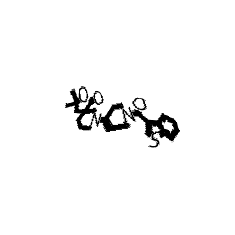 CC1(C)CC2(CCCN(C3CCN(C(=O)c4csc5ccccc45)CC3)C2)C(=O)O1